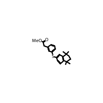 COC(=O)Cc1cccc(Sc2ccc3c(c2)C(C)(C)CCC3(C)C)c1